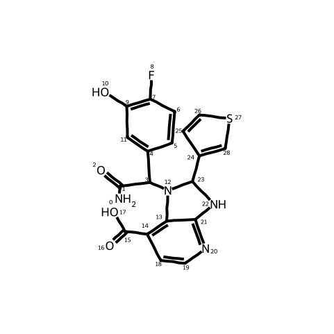 NC(=O)C(c1ccc(F)c(O)c1)N1c2c(C(=O)O)ccnc2NC1c1ccsc1